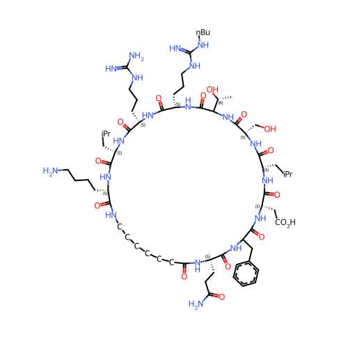 CCCCNC(=N)NCCC[C@@H]1NC(=O)C([C@@H](C)O)NC(=O)[C@H](CO)NC(=O)[C@H](CC(C)C)NC(=O)[C@H](CC(=O)O)NC(=O)C(Cc2ccccc2)NC(=O)[C@H](CCC(N)=O)NC(=O)CCCCCCNC(=O)[C@H](CCCCN)NC(=O)[C@H](CC(C)C)NC(=O)[C@H](CCCNC(=N)N)NC1=O